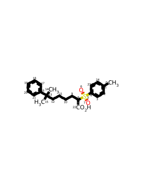 Cc1ccc(S(=O)(=O)C(CCCCC(C)(C)c2ccccc2)C(=O)O)cc1